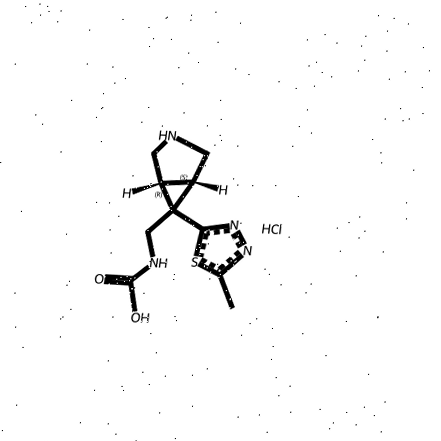 Cc1nnc(C2(CNC(=O)O)[C@@H]3CNC[C@@H]32)s1.Cl